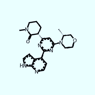 C[C@@H]1COCCN1c1cc([C@H]2CCCN(C)C2=O)nc(-c2ccnc3[nH]ccc23)n1